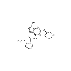 CC(C)c1cnn2c(NC(C)c3ccccc3NC(=O)O)nc(O[C@@H]3CCCNC3)nc12